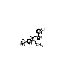 CCCn1c(Cn2ccnc2-c2cccc(Cl)n2)nc2cc(-c3nnco3)cnc21